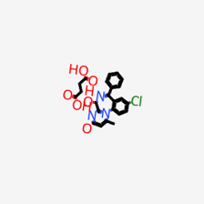 Cc1cc(=O)nc2n1-c1ccc(Cl)cc1C(c1ccccc1)=NC2O.O=C(O)CCC(=O)O